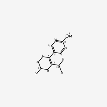 CC1CCC(c2ccc(O)cc2)=C(C(C)C)C1